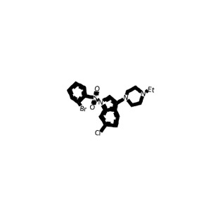 CCN1CCN(c2cn(S(=O)(=O)c3ccccc3Br)c3cc(Cl)ccc23)CC1